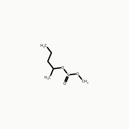 CCCC(C)O[Si](=O)OC